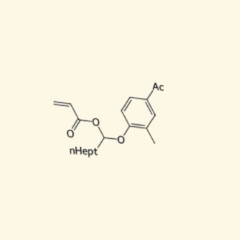 C=CC(=O)OC(CCCCCCC)Oc1ccc(C(C)=O)cc1C